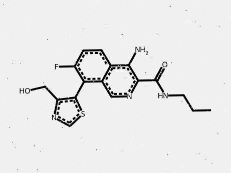 CCCNC(=O)c1ncc2c(-c3scnc3CO)c(F)ccc2c1N